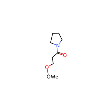 COOCCC(=O)N1CCCC1